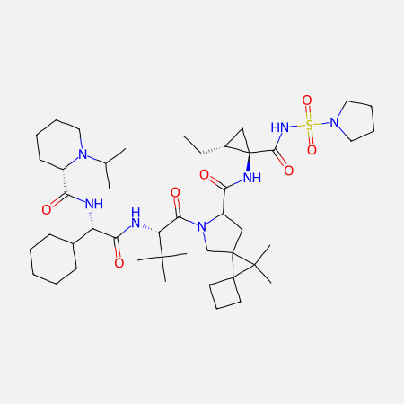 CC[C@@H]1C[C@]1(NC(=O)C1CC2(CN1C(=O)[C@@H](NC(=O)[C@@H](NC(=O)[C@@H]1CCCCN1C(C)C)C1CCCCC1)C(C)(C)C)C(C)(C)C21CCC1)C(=O)NS(=O)(=O)N1CCCC1